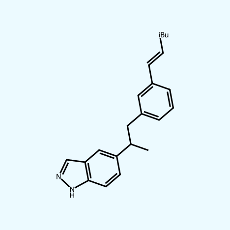 CCC(C)/C=C/c1cccc(CC(C)c2ccc3[nH]ncc3c2)c1